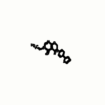 O=C(O)Cn1cnc2c(c1=O)N[C@H](c1ccc(-c3cccs3)cc1)CO2